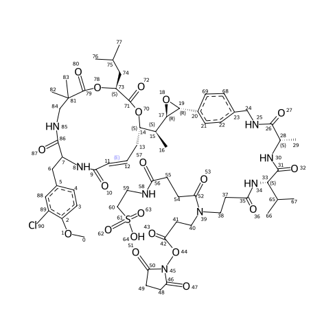 COc1ccc(CC2NC(=O)/C=C/C[C@@H]([C@H](C)[C@H]3O[C@@H]3c3ccc(CNC(=O)[C@H](C)NC(=O)[C@@H](NC(=O)CCN(CCC(=O)ON4C(=O)CCC4=O)C(=O)CCC(=O)NCCS(=O)(=O)O)C(C)C)cc3)OC(=O)[C@H](CC(C)C)OC(=O)C(C)(C)CNC2=O)cc1Cl